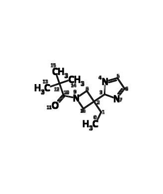 CCC1(C2N=CC=N2)CN(C(=O)C(C)(C)C)C1